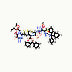 CCOC(Cn1c(C(S)=CC2=C(C(=O)OC(c3ccccc3)c3ccccc3)N3C(=O)C(NC(=O)C(NOC)c4csc(NC(c5ccccc5)(c5ccccc5)c5ccccc5)n4)C3SC2)n[nH]c(=O)c1=O)OCC